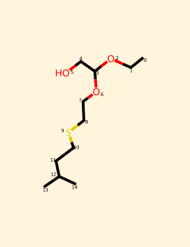 CCOC(CO)OCCSCCC(C)C